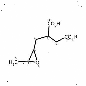 CC1OC1CC(CC(=O)O)C(=O)O